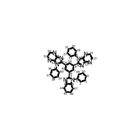 c1ccc(-n2c(-c3cc(-c4nc5nccnc5n4-c4ccccc4)cc(-c4nc5nccnc5n4-c4ccccc4)c3)nc3ccccc32)cc1